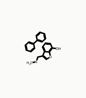 CSCc1coc2c(O)cccc12.c1ccc(-c2ccccc2)cc1